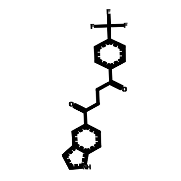 O=C(CCC(=O)c1ccc2[nH]ccc2c1)c1ccc(C(F)(F)F)cc1